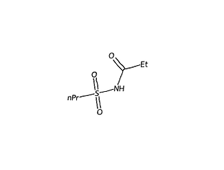 CCCS(=O)(=O)NC(=O)CC